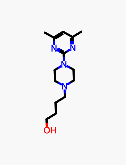 Cc1cc(C)nc(N2CCN(CCCCO)CC2)n1